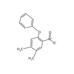 Cc1cc(Oc2ccccc2)c([N+](=O)[O-])cc1C